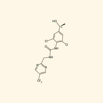 C[C@H](O)c1cc(Cl)c(NC(=O)NCc2ncc(C(F)(F)F)cn2)c(Cl)c1